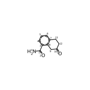 NC(=O)c1cccc2c1CC(=O)CC2